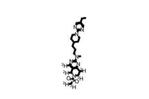 [2H]c1nc(N(C)CCCC2CCN(c3ncc(CC)cn3)CC2)nc2c1C([2H])N(S(=O)(=O)C([2H])[2H])C([2H])C2[2H]